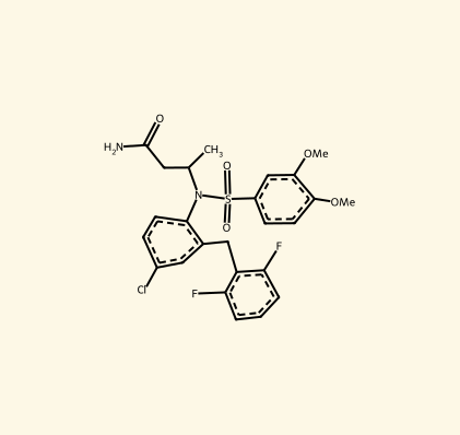 COc1ccc(S(=O)(=O)N(c2ccc(Cl)cc2Cc2c(F)cccc2F)C(C)CC(N)=O)cc1OC